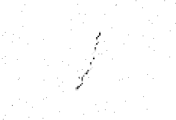 C#CC[CH]C#CCCCCCCCCCC